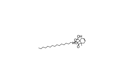 CCCCCCCCCCCCCCCCCCC1(C(=O)O)CC=CCC1(C)C(=O)O